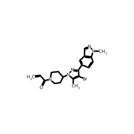 C=CC(=O)N1CCC(n2nc(-c3ccc4c(cnn4C)c3)c(Br)c2C)CC1